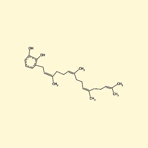 CC(C)=CCCC(C)=CCCC(C)=CCCC(C)=CCc1cccc(O)c1O